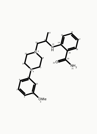 COc1cccc(N2CCN(CC(C)Nc3ccccc3C(N)=O)CC2)c1